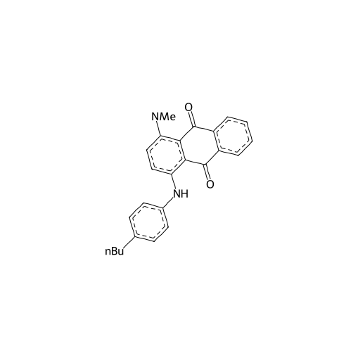 CCCCc1ccc(Nc2ccc(NC)c3c2C(=O)c2ccccc2C3=O)cc1